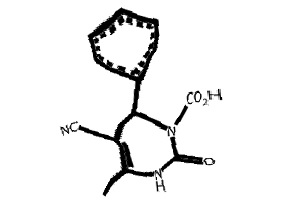 CC1=C(C#N)C(c2ccccc2)N(C(=O)O)C(=O)N1